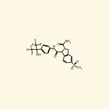 CS(=O)(=O)c1ccc2c(c1)CN(C(N)=O)C2C(=O)Nc1ccc(C(O)(C(F)(F)F)C(F)(F)F)cc1